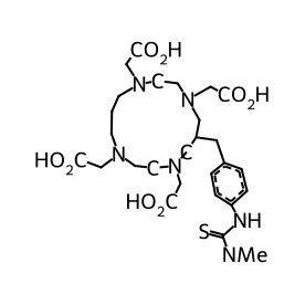 CNC(=S)Nc1ccc(CC2CN(CC(=O)O)CCN(CC(=O)O)CCCN(CC(=O)O)CCN(CC(=O)O)C2)cc1